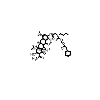 CCCCN(CC(=O)Nc1cc(N(C)C)c2c(c1O)C(=O)C1=C(O)[C@]3(O)C(=O)C(C(N)=O)=C(O)[C@@H](N(C)C)[C@@H]3C[C@@H]1C2)C(=O)OCOC(=O)Cc1ccccc1